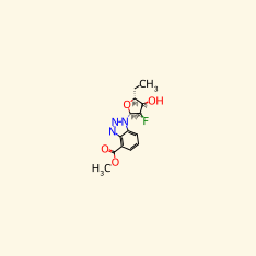 CC[C@H]1O[C@@H](n2nnc3c(C(=O)OC)cccc32)[C@H](F)[C@@H]1O